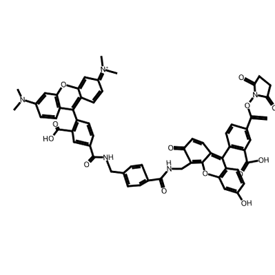 C=C(ON1C(=O)CCC1=O)c1ccc(-c2c3ccc(=O)c(CNC(=O)c4ccc(CNC(=O)c5ccc(-c6c7ccc(=[N+](C)C)cc-7oc7cc(N(C)C)ccc67)c(C(=O)O)c5)cc4)c-3oc3cc(O)ccc23)c(C(=O)O)c1